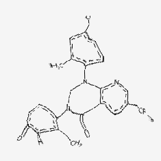 Cc1cc(Cl)ccc1N1CN(c2ccc(=O)[nH]c2C)C(=O)c2cc(C(F)(F)F)cnc21